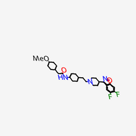 COC1CCC(CC(=O)NC2CCC(CCN3CCC(c4noc5cc(F)c(F)cc45)CC3)CC2)CC1